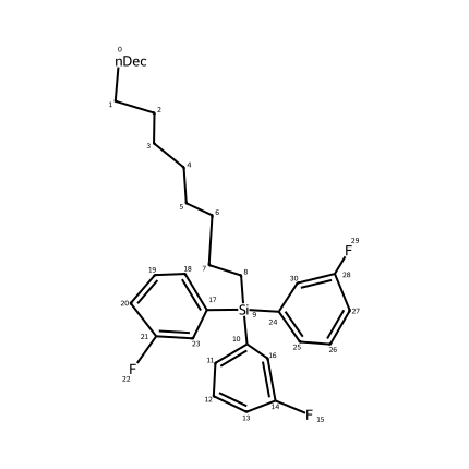 CCCCCCCCCCCCCCCCCC[Si](c1cccc(F)c1)(c1cccc(F)c1)c1cccc(F)c1